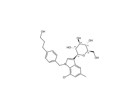 Cc1cc(Cl)c2c(c1)c([C@@H]1O[C@H](CO)[C@@H](O)[C@H](O)[C@H]1O)cn2Cc1ccc(CCCO)cc1